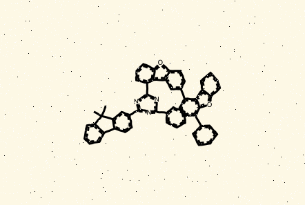 CC1(C)c2ccccc2-c2ccc(-c3nc(-c4ccccc4)nc(-c4cccc5oc6ccc(-c7ccc(-c8ccccc8)c8oc9ccccc9c78)cc6c45)n3)cc21